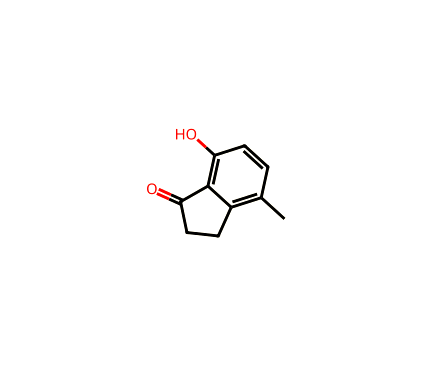 Cc1ccc(O)c2c1CCC2=O